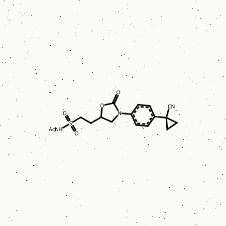 CC(=O)NS(=O)(=O)CCC1CN(c2ccc(C3(C#N)CC3)cc2)C(=O)O1